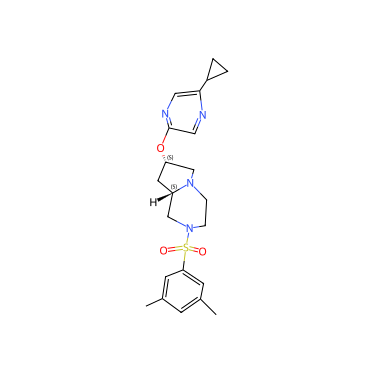 Cc1cc(C)cc(S(=O)(=O)N2CCN3C[C@@H](Oc4cnc(C5CC5)cn4)C[C@H]3C2)c1